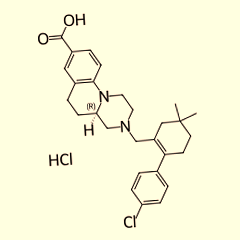 CC1(C)CCC(c2ccc(Cl)cc2)=C(CN2CCN3c4ccc(C(=O)O)cc4CC[C@@H]3C2)C1.Cl